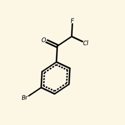 O=C(c1cccc(Br)c1)C(F)Cl